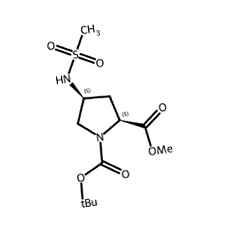 COC(=O)[C@@H]1C[C@H](NS(C)(=O)=O)CN1C(=O)OC(C)(C)C